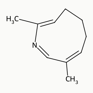 CC1=C/CCC/C=C(C)/N=C\1